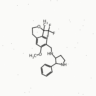 COc1cc2c(cc1CNC1CCNC1c1ccccc1)C(C)(C(F)(F)F)OCC2